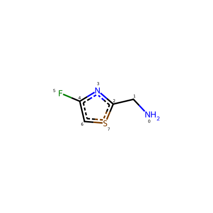 NCc1nc(F)cs1